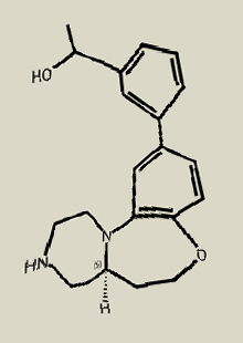 CC(O)c1cccc(-c2ccc3c(c2)N2CCNC[C@@H]2CCO3)c1